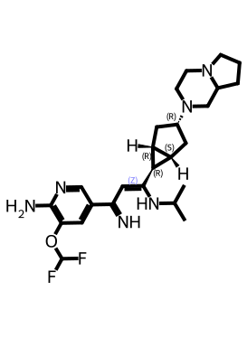 CC(C)N/C(=C\C(=N)c1cnc(N)c(OC(F)F)c1)[C@H]1[C@@H]2C[C@H](N3CCN4CCCC4C3)C[C@@H]21